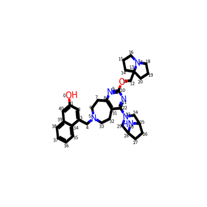 Oc1cc(CN2CCc3nc(OCC45CCCN4CCC5)nc(N4CC5CCC(C4)N5)c3CC2)c2ccccc2c1